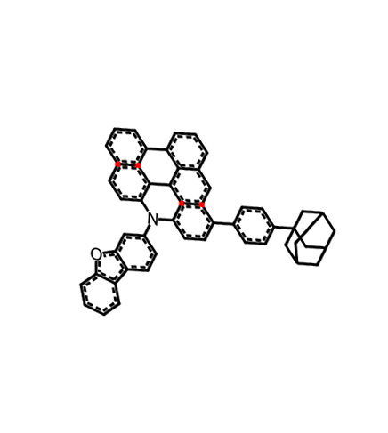 c1ccc(-c2cccc3cccc(-c4ccccc4N(c4ccc(-c5ccc(C67CC8CC(CC(C8)C6)C7)cc5)cc4)c4ccc5c(c4)oc4ccccc45)c23)cc1